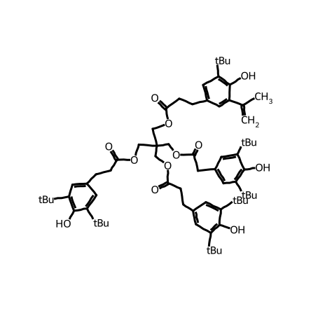 C=C(C)c1cc(CCC(=O)OCC(COC(=O)CCc2cc(C(C)(C)C)c(O)c(C(C)(C)C)c2)(COC(=O)CCc2cc(C(C)(C)C)c(O)c(C(C)(C)C)c2)COC(=O)Cc2cc(C(C)(C)C)c(O)c(C(C)(C)C)c2)cc(C(C)(C)C)c1O